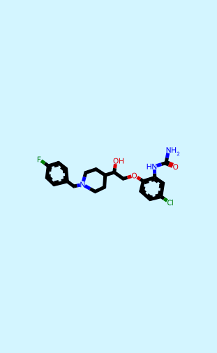 NC(=O)Nc1cc(Cl)ccc1OCC(O)C1CCN(Cc2ccc(F)cc2)CC1